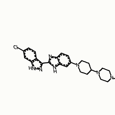 CN1CCN(C2CCN(c3ccc4nc(-c5n[nH]c6cc(Cl)ccc56)[nH]c4c3)CC2)CC1